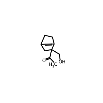 CC(=O)C1(CO)CC2C=CC1CC2